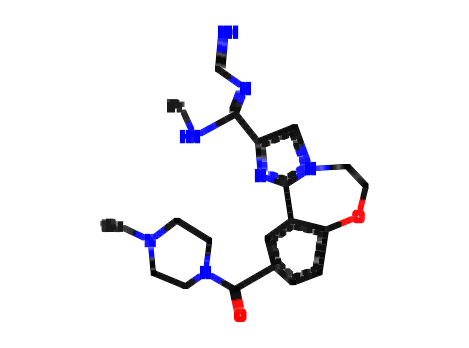 CC(C)N/C(=N\C=N)c1cn2c(n1)-c1cc(C(=O)N3CCN(C(C)(C)C)CC3)ccc1OCC2